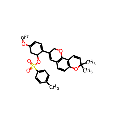 CCCOC1=CC=C(C2=Cc3ccc4c(c3OC2)C=CC(C)(C)O4)C(OS(=O)(=O)c2ccc(C)cc2)C1